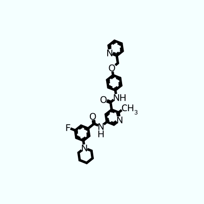 Cc1ncc(NC(=O)c2cc(F)cc(N3CCCCC3)c2)cc1C(=O)Nc1ccc(OCc2ccccn2)cc1